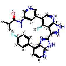 CC(C)C(=O)Nc1cncc(-c2cnc3[nH]nc(-c4nc5c(-c6ccc(F)cc6)ccnc5[nH]4)c3c2F)c1